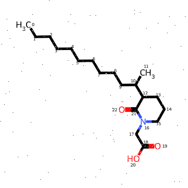 CCCCCCCCCCC(C)C1CCCN(CC(=O)O)C1=O